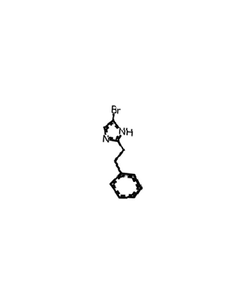 Brc1cnc(CCc2ccccc2)[nH]1